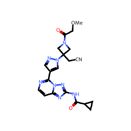 COCC(=O)N1CC(CC#N)(n2cc(-c3nccc4nc(NC(=O)C5CC5)nn34)cn2)C1